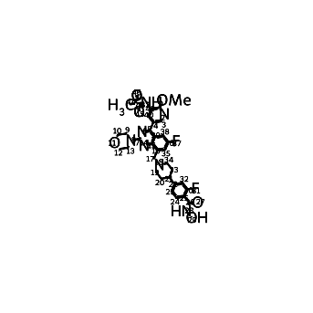 COc1ncc(-c2nc(N3CCOCC3)nc3c(CN4CCC(c5ccc(C(=O)NO)c(F)c5)CC4)cc(F)cc23)cc1NS(C)(=O)=O